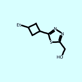 CCC1CC(c2nnc(CO)s2)C1